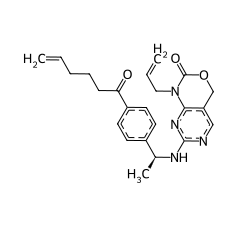 C=CCCCC(=O)c1ccc([C@H](C)Nc2ncc3c(n2)N(CC=C)C(=O)OC3)cc1